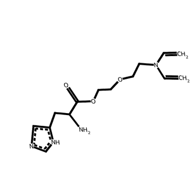 C=CN(C=C)CCOCCOC(=O)C(N)Cc1cnc[nH]1